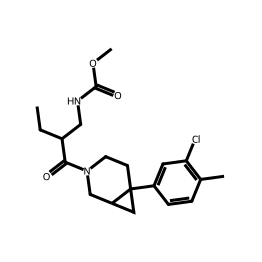 CCC(CNC(=O)OC)C(=O)N1CCC2(c3ccc(C)c(Cl)c3)CC2C1